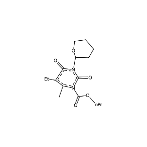 CCCOC(=O)n1c(C)c(CC)c(=O)n(C2CCCCO2)c1=O